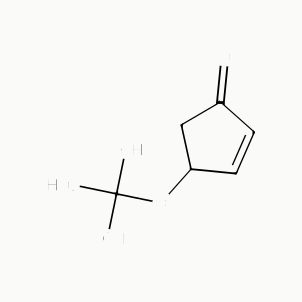 CC(C)(C)OC1C=CC(=O)C1